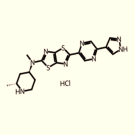 C[C@@H]1C[C@@H](N(C)c2nc3sc(-c4cnc(-c5cn[nH]c5)cn4)nc3s2)CCN1.Cl